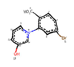 O=C(O)c1ccc(Br)cc1-[n+]1cccc(O)c1